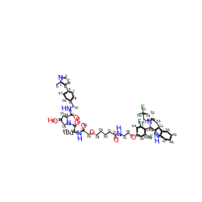 Cc1ncsc1-c1ccc(CNC(=O)[C@@H]2C[C@@H](O)CN2C(=O)C(NC(=O)COCCCCC(=O)NCCOc2cc(F)c([C@@H]3c4[nH]c5ccccc5c4C[C@@H](C)N3CC(C)(C)F)c(F)c2)C(C)(C)C)cc1